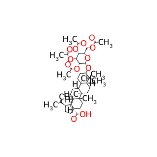 C=C(C)[C@@H]1CC[C@]2(C(=O)O)CC[C@]3(C)[C@H](CC[C@@H]4[C@@]5(C)CC[C@@H](O[C@@H]6O[C@H](COC(C)=O)[C@@H](OC(C)=O)[C@H](OC(C)=O)[C@H]6OC(C)=O)C(C)(C)[C@@H]5CC[C@]43C)[C@@H]12